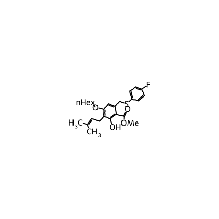 CCCCCCOc1cc(CSc2ccc(F)cc2)c(C(=O)OC)c(O)c1CC=C(C)C